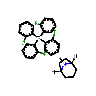 CN1[C@@H]2CCC[C@H]1CC2.Fc1ccccc1[B-](c1ccccc1F)(c1ccccc1F)c1ccccc1F